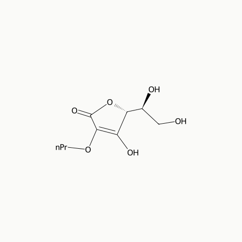 CCCOC1=C(O)[C@@H]([C@@H](O)CO)OC1=O